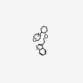 C1=CC2SC=C(CCO[C@H]3CCCCC3N3CCOCC3)C2C=C1